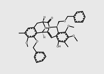 COc1c(C)cc2c(c1OCc1ccccc1)[C@@H]1C3=Cc4c(O)c(C)c(OC)c(OC)c4[C@H](COCc4ccccc4)N3C(=O)[C@@H](C2)N1C